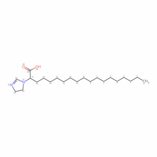 CCCCCCCCCCCCCCCCCC(C(=O)O)N1C=NCC1